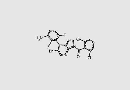 Nc1ccc(F)c(-c2c(Br)cnc3c2[c]cn3C(=O)c2c(Cl)cccc2Cl)c1F